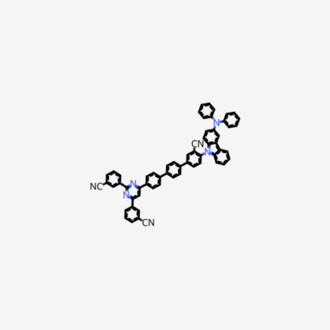 N#Cc1cccc(-c2cc(-c3ccc(-c4ccc(-c5ccc(-n6c7ccccc7c7cc(N(c8ccccc8)c8ccccc8)ccc76)c(C#N)c5)cc4)cc3)nc(-c3cccc(C#N)c3)n2)c1